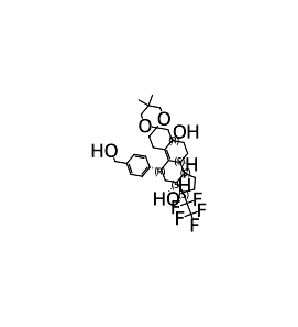 CC1(C)COC2(CCC3=C4[C@@H](CC[C@@]3(O)C2)[C@@H]2CC[C@@](O)(C(F)(F)C(F)(F)F)[C@@]2(C)C[C@@H]4c2ccc(CO)cc2)OC1